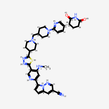 CNc1cc(-c2ccc3cc(C#N)cnn23)ncc1-c1nnc(C2CCN(CC3CCN(c4ccc([C@H]5CCC(=O)NC5=O)cn4)CC3)CC2)s1